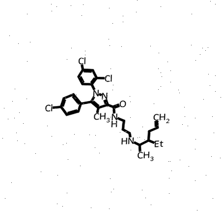 C=CCC(CC)C(C)NCCCNC(=O)c1nn(-c2ccc(Cl)cc2Cl)c(-c2ccc(Cl)cc2)c1C